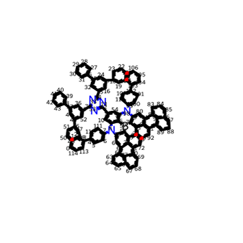 c1ccc(-c2ccc(N3c4cc(-c5nc(-c6cc(-c7ccccc7)cc(-c7ccccc7)c6)nc(-c6cc(-c7ccccc7)cc(-c7ccccc7)c6)n5)cc5c4B(c4c3cc3c6cccc7cccc(c8cccc4c83)c76)c3c(cc4c6cccc7cccc(c8cccc3c84)c76)N5c3ccc(-c4ccccc4)cc3)cc2)cc1